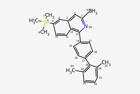 Bc1cc2cc(S(C)(C)C)ccc2c(-c2ccc(-c3c(C)cccc3C)cc2)n1